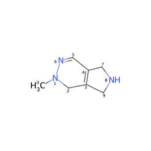 CN1CC2=C(C=N1)CNC2